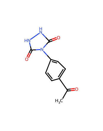 CC(=O)c1ccc(-n2c(=O)[nH][nH]c2=O)cc1